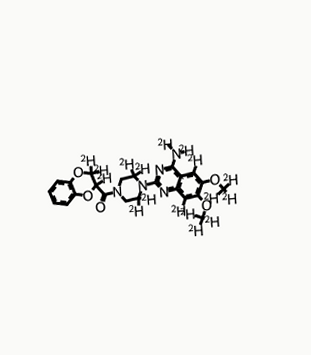 [2H]c1c(OC([2H])([2H])[2H])c(OC([2H])([2H])[2H])c([2H])c2c(N([2H])[2H])nc(N3C([2H])([2H])CN(C(=O)C4([2H])Oc5ccccc5OC4([2H])[2H])CC3([2H])[2H])nc12